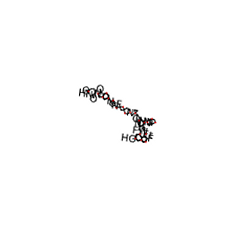 CCc1c(F)ccc2cc(O)cc(-c3ncc4c(N5CC6CCC(C5)N6)nc(OCC5(CN6CCC7(CC6)CC(F)(CN6CCN(c8ccc9c(c8)CN([C@H]8CCC(=O)NC8=O)C9=O)CC6)C7)CC5)nc4c3F)c12